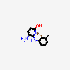 Cc1cccc(Nc2nc(O)ccc2N)c1Br